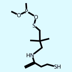 C=C(CCS)NCC(C)(C)CSOP(C)OC